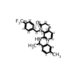 Cc1ccc(C(C)Nc2nccc3c2N(Cc2ccc(C(F)(F)F)cc2)C(=O)CS3)cc1